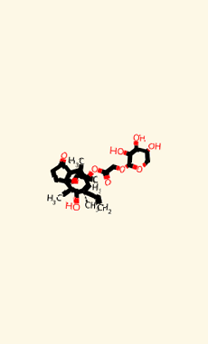 C=C[C@]1(C)CC(OC(=O)COC2OCC(O)C(O)C2O)C2(C)C(C)CCC3(CCC(=O)C32)C(C)C1O